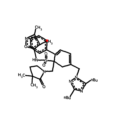 CCCCc1nc(CCCC)n(CC2=CC=C(c3ccccc3)C(CN3CCC(C)(C)C3=O)(S(=O)(=O)Nc3onc(C)c3C)C2)n1